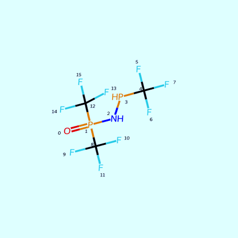 O=P(NPC(F)(F)F)(C(F)(F)F)C(F)(F)F